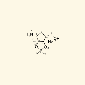 CC1(C)O[C@@H]2[C@@H](CO)C[C@@H](N)[C@]2(C)O1